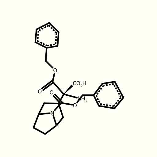 N[C@@](C(=O)O)(C(=O)OCc1ccccc1)C1CC2CCC(C1)N2C(=O)OCc1ccccc1